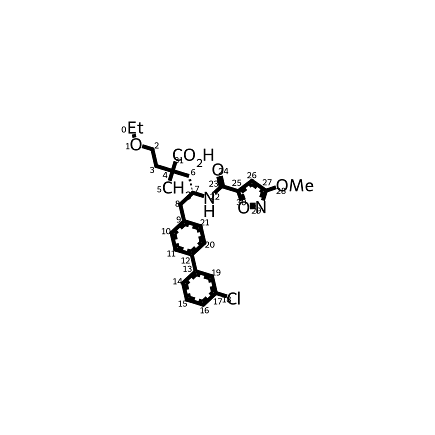 CCOCCC(C)(C[C@@H](Cc1ccc(-c2cccc(Cl)c2)cc1)NC(=O)c1cc(OC)no1)C(=O)O